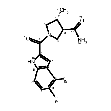 C[C@H]1CN(C(=O)c2cc3c(Cl)c(Cl)ccc3[nH]2)C[C@@H]1C(N)=O